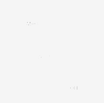 COC1C=CC=CC1C=CC(=O)c1ccc(O)cc1